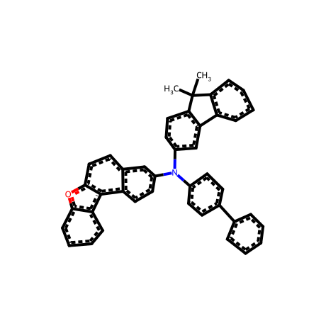 CC1(C)c2ccccc2-c2cc(N(c3ccc(-c4ccccc4)cc3)c3ccc4c(ccc5oc6ccccc6c54)c3)ccc21